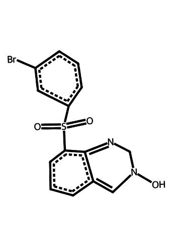 O=S(=O)(c1cccc(Br)c1)c1cccc2c1=NCN(O)C=2